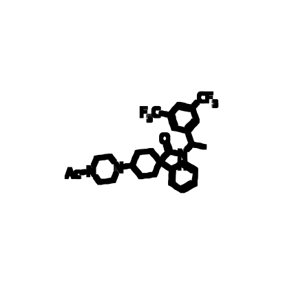 CC(=O)N1CCN(C2CCC(C(=O)NC(C)c3cc(C(F)(F)F)cc(C(F)(F)F)c3)(c3ccccc3)CC2)CC1